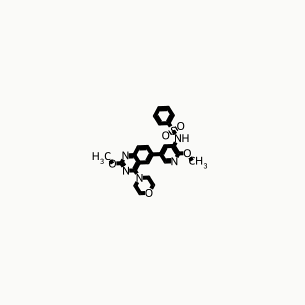 COc1nc(N2CCOCC2)c2cc(-c3cnc(OC)c(NS(=O)(=O)c4ccccc4)c3)ccc2n1